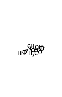 CC(=O)C(O)(c1ccccc1)C1CCC(N(C)C2C3CNCC32)C1